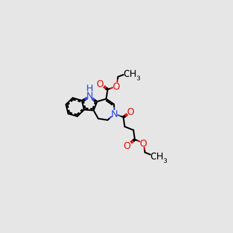 CCOC(=O)CCC(=O)N1C=C(C(=O)OCC)c2[nH]c3ccccc3c2CC1